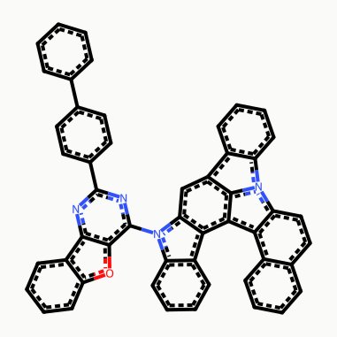 c1ccc(-c2ccc(-c3nc(-n4c5ccccc5c5c6c7c8ccccc8ccc7n7c8ccccc8c(cc54)c67)c4oc5ccccc5c4n3)cc2)cc1